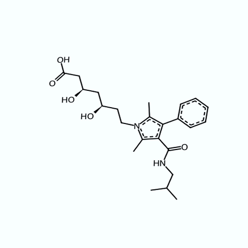 Cc1c(C(=O)NCC(C)C)c(-c2ccccc2)c(C)n1CC[C@@H](O)C[C@@H](O)CC(=O)O